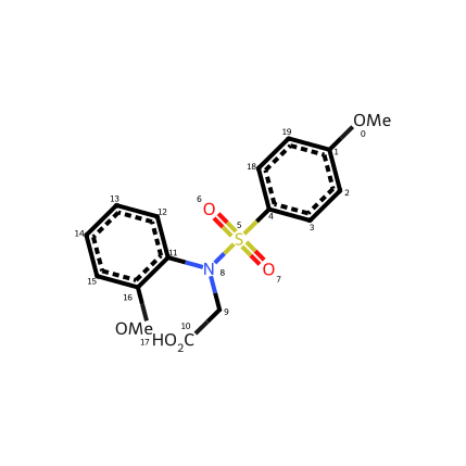 COc1ccc(S(=O)(=O)N(CC(=O)O)c2ccccc2OC)cc1